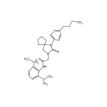 CCCCc1ccc(N2C(=O)N(CC(=O)Nc3c(C(C)C)cccc3C(C)C)CC23CCCC3)cc1